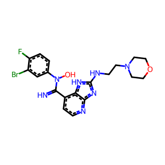 N=C(c1ccnc2nc(NCCN3CCOCC3)[nH]c12)N(O)c1ccc(F)c(Br)c1